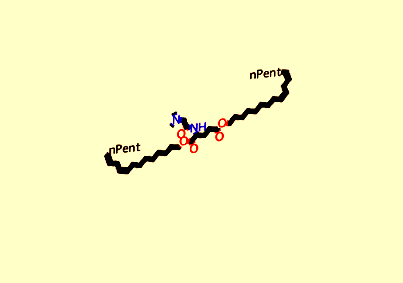 CCCCC/C=C\C/C=C\CCCCCCCCOC(=O)CCC(NC(=O)CN(C)C)C(=O)OCCCCCCCC/C=C\C/C=C\CCCCC